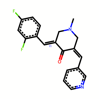 CN1CC(=Cc2cccnc2)C(=O)/C(=C/c2ccc(F)cc2F)C1